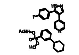 CC(=O)NO[As](=O)(OO)c1cccc(C2CCCCC2)c1.Fc1ccc(-c2[nH]ncc2-c2ccncc2)cc1